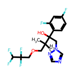 CC(C)(COCC(F)(F)C(F)F)C(O)(Cn1cncn1)c1ccc(F)cc1F